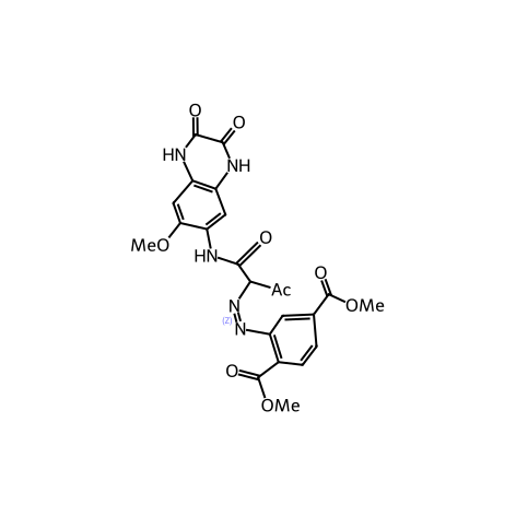 COC(=O)c1ccc(C(=O)OC)c(/N=N\C(C(C)=O)C(=O)Nc2cc3[nH]c(=O)c(=O)[nH]c3cc2OC)c1